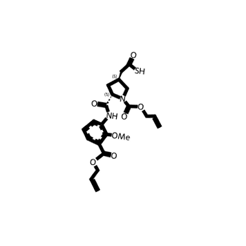 C=CCOC(=O)c1cccc(NC(=O)[C@@H]2C[C@@H](CC(=O)S)CN2C(=O)OCC=C)c1OC